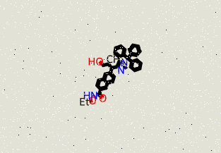 CCONC(=O)c1ccc2cc(C(c3cn(C(c4ccccc4)(c4ccccc4)c4ccccc4)cn3)C(C)CO)ccc2c1